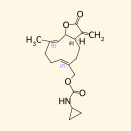 C=C1C(=O)OC2/C=C(\C)CC/C=C(\COC(=O)NC3CC3)CC[C@H]12